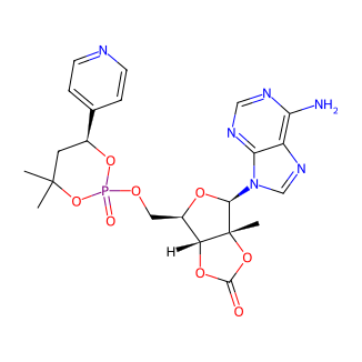 CC1(C)C[C@@H](c2ccncc2)OP(=O)(OC[C@H]2O[C@@H](n3cnc4c(N)ncnc43)[C@]3(C)OC(=O)O[C@H]23)O1